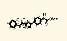 COC(=O)Nc1ccc(-c2c[nH]c(C(C=O)Cc3ccccc3)n2)cc1